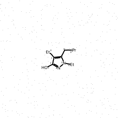 CCc1c(O)nn(CC)c1CC(C)C